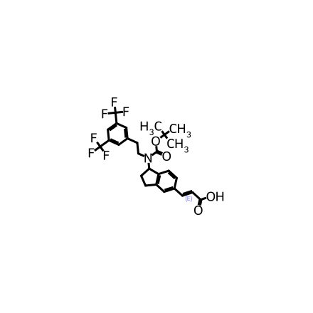 CC(C)(C)OC(=O)N(CCc1cc(C(F)(F)F)cc(C(F)(F)F)c1)C1CCc2cc(/C=C/C(=O)O)ccc21